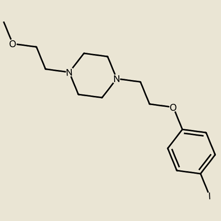 COCCN1CCN(CCOc2ccc(I)cc2)CC1